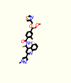 COC[C@H](OCc1cscn1)c1ccc(C(=O)N[C@H](C)c2cc(-c3cnn(C)c3)nc3ccccc23)c(C)c1